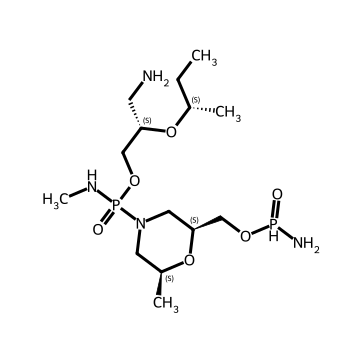 CC[C@H](C)O[C@@H](CN)COP(=O)(NC)N1C[C@@H](CO[PH](N)=O)O[C@@H](C)C1